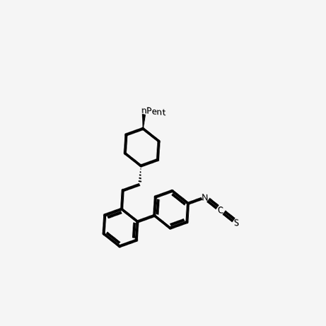 CCCCC[C@H]1CC[C@H](CCc2ccccc2-c2ccc(N=C=S)cc2)CC1